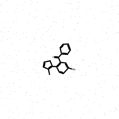 CC1=C(c2ccc(C(C)(C)C)cc2C(=O)c2ccccc2)CC=C1